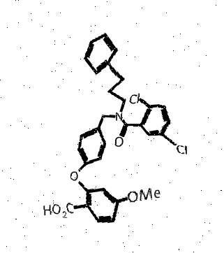 COc1ccc(C(=O)O)c(Oc2ccc(CN(CCCc3ccccc3)C(=O)c3cc(Cl)ccc3Cl)cc2)c1